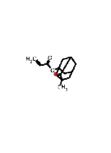 C=CC(=O)OC12CC3CC(C1)C(=O)C(C)(C3)C2